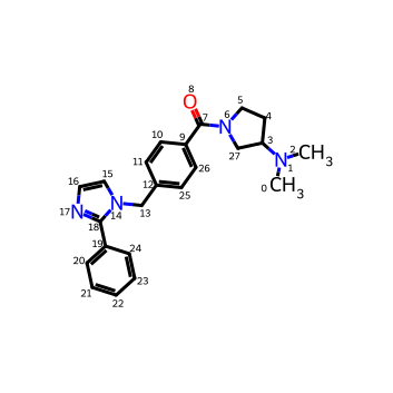 CN(C)C1CCN(C(=O)c2ccc(Cn3ccnc3-c3ccccc3)cc2)C1